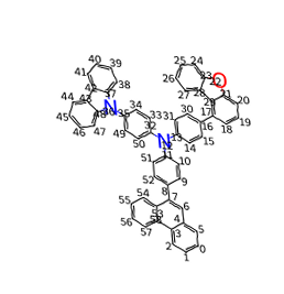 c1ccc2c(c1)cc(-c1ccc(N(c3ccc(-c4cccc5oc6ccccc6c45)cc3)c3ccc(-n4c5ccccc5c5ccccc54)cc3)cc1)c1ccccc12